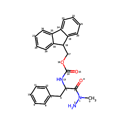 CN(N)C(=O)C(Cc1ccccc1)NC(=O)OCC1c2ccccc2-c2ccccc21